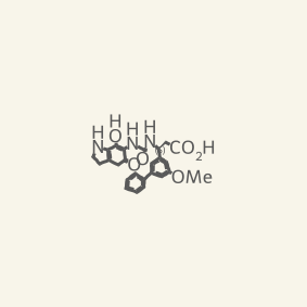 COc1cc(-c2ccccc2)cc([C@H](CC(=O)O)NC(=O)NC2=C(O)C3=C(CCN3)CC2=O)c1